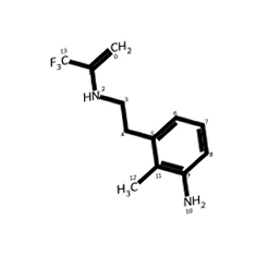 C=C(NCCc1cccc(N)c1C)C(F)(F)F